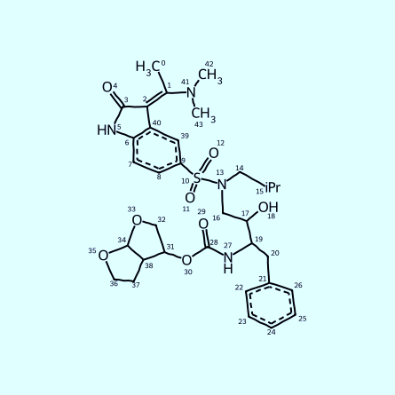 C/C(=C1\C(=O)Nc2ccc(S(=O)(=O)N(CC(C)C)CC(O)C(Cc3ccccc3)NC(=O)OC3COC4OCCC34)cc21)N(C)C